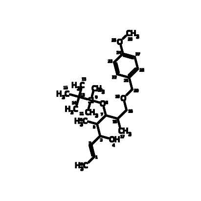 C/C=C/C(O)C(C)C(O[Si](C)(C)C(C)(C)C)C(C)COCc1ccc(OC)cc1